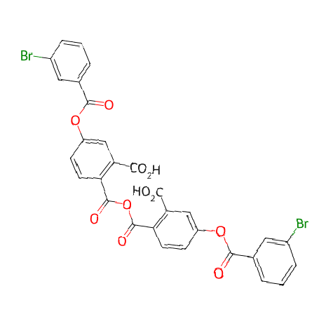 O=C(Oc1ccc(C(=O)OC(=O)c2ccc(OC(=O)c3cccc(Br)c3)cc2C(=O)O)c(C(=O)O)c1)c1cccc(Br)c1